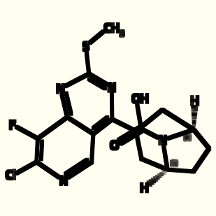 CSc1nc(C2C[C@H]3CC[C@@H](C2)N3C(=O)O)c2cnc(Cl)c(F)c2n1